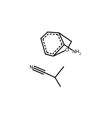 CC(C)C#N.Nc1c2cccc1OC2